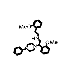 COc1ccccc1CCNCC(c1ccccc1OC)N1CCN(c2ccccc2)CC1